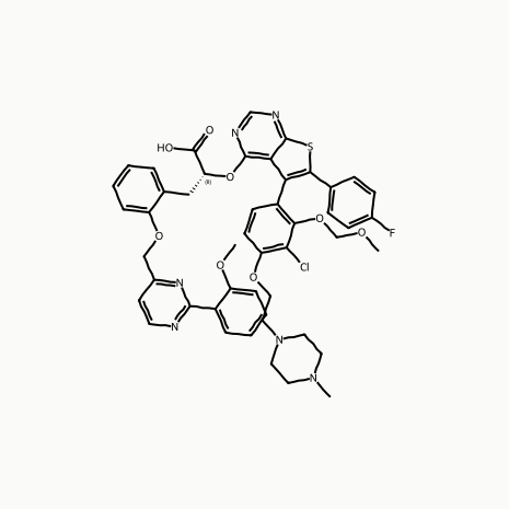 COCOc1c(-c2c(-c3ccc(F)cc3)sc3ncnc(O[C@H](Cc4ccccc4OCc4ccnc(-c5ccccc5OC)n4)C(=O)O)c23)ccc(OCCN2CCN(C)CC2)c1Cl